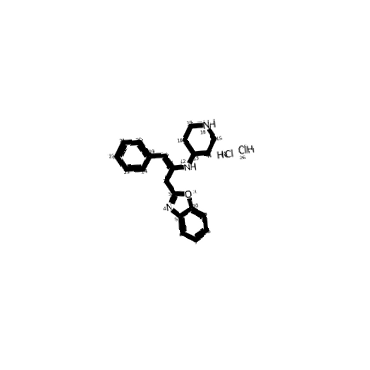 C(=C(Cc1nc2ccccc2o1)NC1CCNCC1)c1ccccc1.Cl.Cl